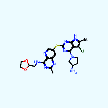 CCc1[nH]c2nc(Sc3cnc4c(NCC5OCCO5)nc(C)nc4c3)nc(N3CCC(N)C3)c2c1Cl